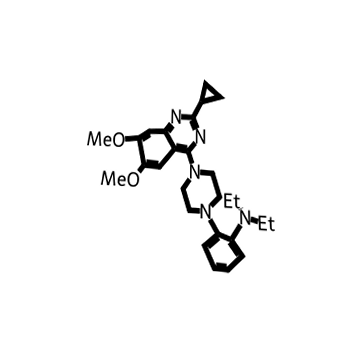 CCN(CC)c1ccccc1N1CCN(c2nc(C3CC3)nc3cc(OC)c(OC)cc23)CC1